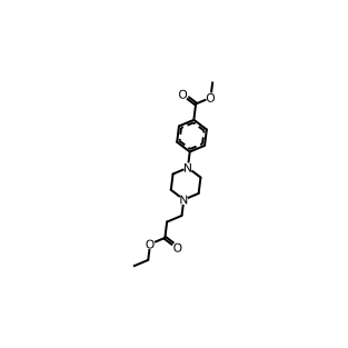 CCOC(=O)CCN1CCN(c2ccc(C(=O)OC)cc2)CC1